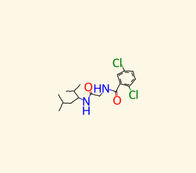 CC(C)CC(NC(=O)CNC(=O)c1cc(Cl)ccc1Cl)C(C)C